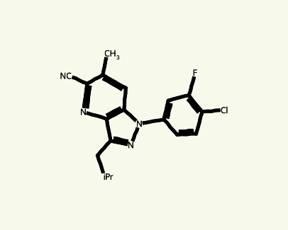 Cc1cc2c(nc1C#N)c(CC(C)C)nn2-c1ccc(Cl)c(F)c1